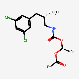 CCC(=O)O[C@@H](OC(=O)NC[C@H](Cc1cc(Cl)cc(Cl)c1)C(=O)O)C(C)C